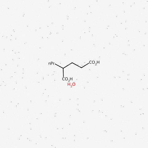 CCCC(CCC(=O)O)C(=O)O.O